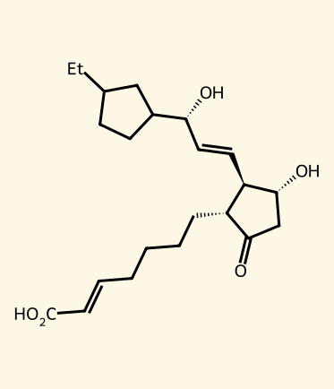 CCC1CCC([C@H](O)/C=C/[C@H]2[C@H](O)CC(=O)[C@@H]2CCCC/C=C/C(=O)O)C1